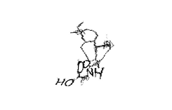 C=C[C@]1(C)CC=C2C3=C(CCC2C1)[C@@](C)(C(=O)N[C@H](C)C(=O)O)CC[C@H]3C